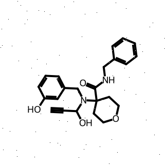 C#CC(O)N(Cc1cccc(O)c1)C1(C(=O)NCc2ccccc2)CCOCC1